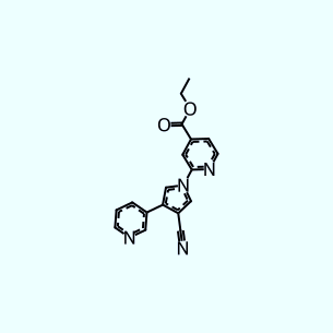 CCOC(=O)c1ccnc(-n2cc(C#N)c(-c3cccnc3)c2)c1